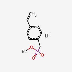 C=Cc1ccc(CP(=O)([O-])OCC)cc1.[Li+]